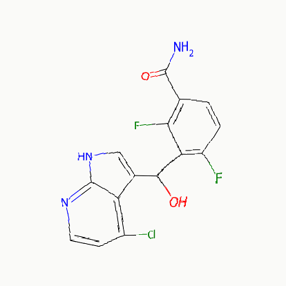 NC(=O)c1ccc(F)c(C(O)c2c[nH]c3nccc(Cl)c23)c1F